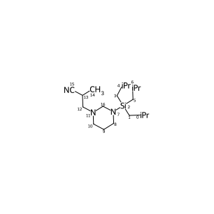 CC(C)C[Si](CC(C)C)(CC(C)C)N1CCCN(CC(C)C#N)C1